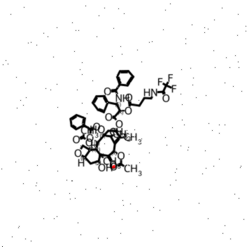 CC(=O)O[C@H]1C(=O)[C@@]2(C)[C@H]([C@H](OC(=O)c3ccccc3)[C@]3(O)C[C@H](OC(=O)[C@H](OC(=O)CCCNC(=O)C(F)(F)F)[C@@H](NC(=O)c4ccccc4)c4ccccc4)C(C)=C1C3(C)C)[C@]1(OC(C)=O)CO[C@@H]1C[C@@H]2O